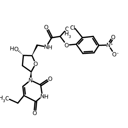 CCc1cn([C@H]2C[C@H](O)[C@@H](CNC(=O)C(C)Oc3ccc([N+](=O)[O-])cc3Cl)O2)c(=O)[nH]c1=O